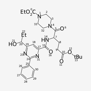 CCOC(=O)N1CCN(C(=O)C(CCC(=O)OC(C)(C)C)NC(=O)c2cc(C(O)CC)nc(-c3ccccc3)n2)CC1